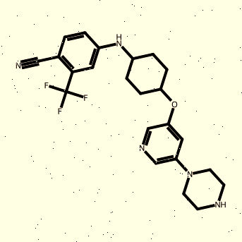 N#Cc1ccc(NC2CCC(Oc3cncc(N4CCNCC4)c3)CC2)cc1C(F)(F)F